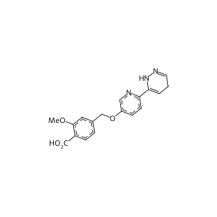 COc1cc(COc2ccc(C3=CCC=NN3)nc2)ccc1C(=O)O